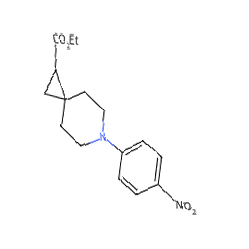 CCOC(=O)C1CC12CCN(c1ccc([N+](=O)[O-])cc1)CC2